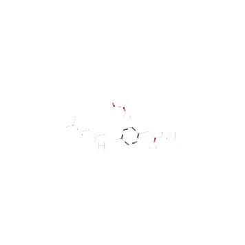 CC(=O)C(C)=O.CC(C)NCC(O)COc1ccc(CC(N)=O)cc1